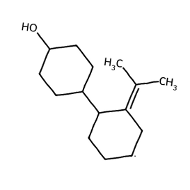 CC(C)=C1C[CH]CCC1C1CCC(O)CC1